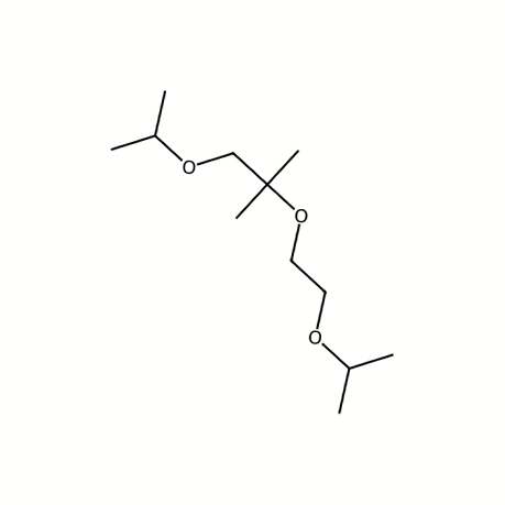 CC(C)OCCOC(C)(C)COC(C)C